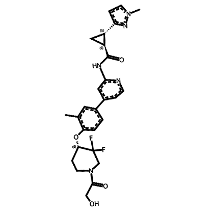 Cc1cc(-c2ccnc(NC(=O)[C@H]3C[C@@H]3c3ccn(C)n3)c2)ccc1O[C@H]1CCN(C(=O)CO)CC1(F)F